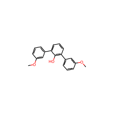 COc1cccc(-c2cccc(-c3cccc(OC)c3)c2O)c1